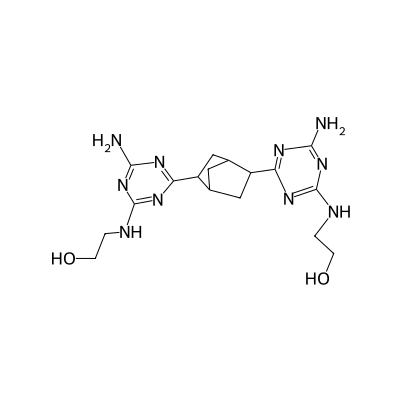 Nc1nc(NCCO)nc(C2CC3CC2CC3c2nc(N)nc(NCCO)n2)n1